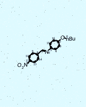 CCCCOc1ccc(/N=C/c2ccc([N+](=O)[O-])cc2)cc1